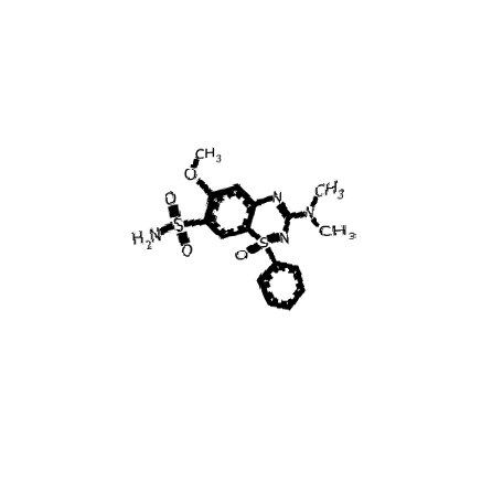 COc1cc2c(cc1S(N)(=O)=O)S(=O)(c1ccccc1)=NC(N(C)C)=N2